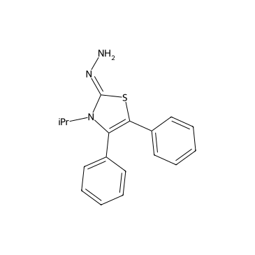 CC(C)n1c(-c2ccccc2)c(-c2ccccc2)sc1=NN